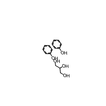 OCC(O)CO.Oc1ccccc1.Oc1ccccc1